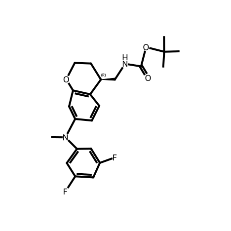 CN(c1cc(F)cc(F)c1)c1ccc2c(c1)OCC[C@H]2CNC(=O)OC(C)(C)C